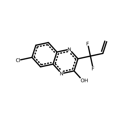 C=CC(F)(F)c1nc2ccc(Cl)cc2nc1O